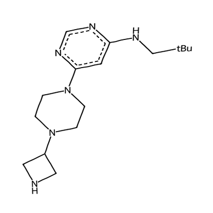 CC(C)(C)CNc1cc(N2CCN(C3CNC3)CC2)ncn1